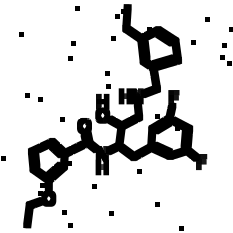 CCOc1cccc(C(=O)NC(Cc2cc(F)cc(F)c2)C(O)CNCc2cccc(CC)c2)c1